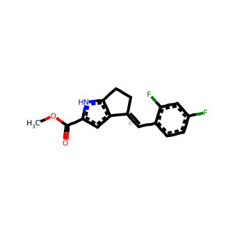 COC(=O)c1cc2c([nH]1)CC/C2=C\c1ccc(F)cc1F